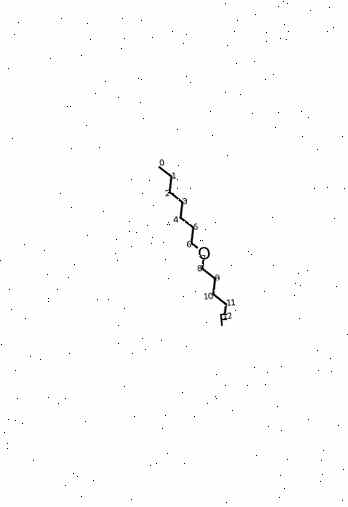 CCCCCCCOCCCCF